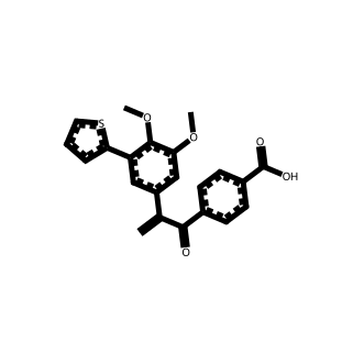 C=C(C(=O)c1ccc(C(=O)O)cc1)c1cc(OC)c(OC)c(-c2cccs2)c1